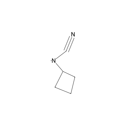 N#C[N]C1CCC1